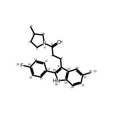 CC1CCN(C(=O)CCc2c(-c3ccc(F)cc3)[nH]c3ccc(F)cc23)C1